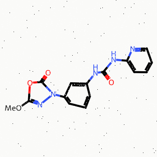 COc1nn(-c2cccc(NC(=O)Nc3ccccn3)c2)c(=O)o1